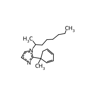 CCCCCCC(C)n1ccnc1C1(C)C=CC=CC1